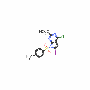 Cc1ccc(S(=O)(=O)n2c(I)cc3c(Cl)nc(C(=O)O)nc32)cc1